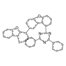 c1ccc(-c2nc(-c3ccccc3)nc(-c3cccc4oc5ccc(-c6cccc7c6oc6ccccc67)cc5c34)n2)cc1